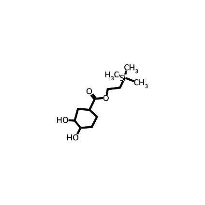 C[Si](C)(C)CCOC(=O)C1CCC(O)C(O)C1